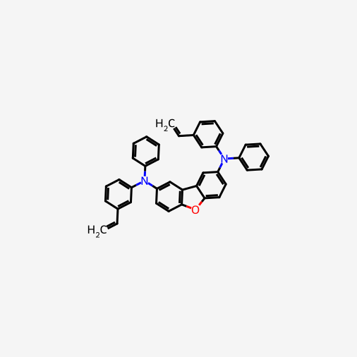 C=Cc1cccc(N(c2ccccc2)c2ccc3oc4ccc(N(c5ccccc5)c5cccc(C=C)c5)cc4c3c2)c1